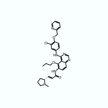 CCCOc1c(NC(=O)/C=C/[C@H]2CCCN2C)ccc2ncnc(Nc3ccc(OCc4ccccn4)c(Cl)c3)c12